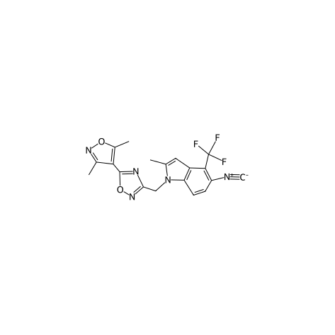 [C-]#[N+]c1ccc2c(cc(C)n2Cc2noc(-c3c(C)noc3C)n2)c1C(F)(F)F